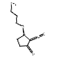 CCCCON1CCC(=O)C1=C=O